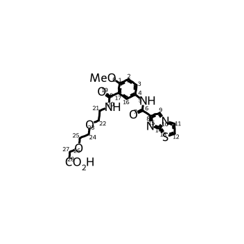 COc1ccc(NC(=O)c2cn3ccsc3n2)cc1C(=O)NCCOCCOCC(=O)O